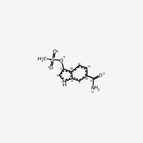 CS(=O)(=O)Oc1c[nH]c2cc(C(N)=O)ccc12